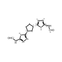 O=CNc1nnc([C@H]2CC[C@H](c3nnc(NC=O)s3)C2)s1